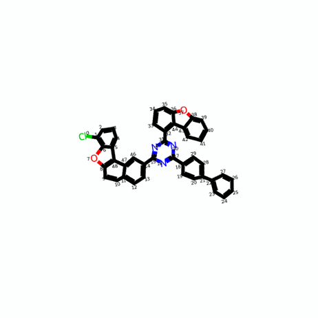 Clc1cccc2c1oc1ccc3ccc(-c4nc(-c5ccc(-c6ccccc6)cc5)nc(-c5cccc6oc7ccccc7c56)n4)cc3c12